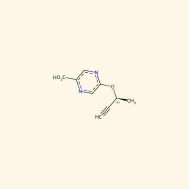 C#C[C@H](C)Oc1cnc(C(=O)O)cn1